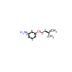 CC(C)=CCOc1cccc(N)c1